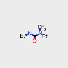 CC[N]C(=O)N(CC)C(F)(F)F